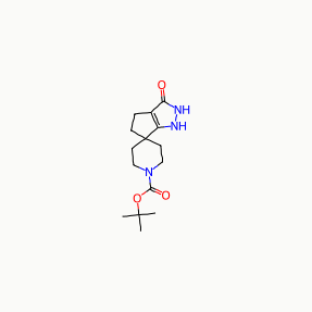 CC(C)(C)OC(=O)N1CCC2(CCc3c2[nH][nH]c3=O)CC1